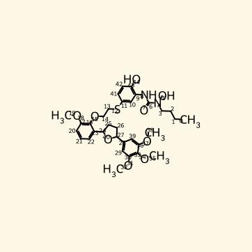 CCCCN(O)C(=O)Nc1cc(SCCOc2c(OC)cccc2C2CCC(c3cc(OC)c(OC)c(OC)c3)O2)ccc1O